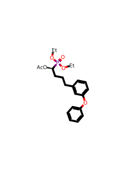 CCOP(=O)(OCC)[C@@H](CCCc1cccc(Oc2ccccc2)c1)OC(C)=O